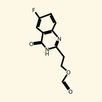 O=COCCc1nc2ccc(F)cc2c(=O)[nH]1